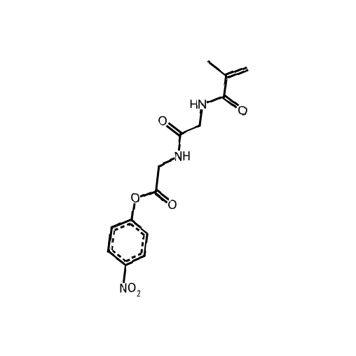 C=C(C)C(=O)NCC(=O)NCC(=O)Oc1ccc([N+](=O)[O-])cc1